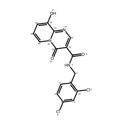 O=C(NCc1ccc(Cl)cc1Cl)c1cnc2c(O)cccn2c1=O